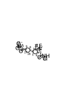 O=C(Cc1ccc(-c2ccc(C(=O)C[N+](=O)[O-])cc2)cc1C(F)(F)F)NCl